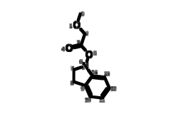 COCC(=O)ON1CCc2ccccc21